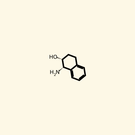 N[C@H]1c2ccccc2CC[C@H]1O